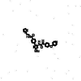 CC(C)(C)c1cc(NC(=O)Nc2ccc(Oc3ccncc3)cc2)n(-c2ccc(C(=O)NCCn3cccn3)cc2)n1